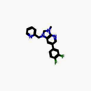 CN1CN(Cc2ccccn2)c2cc(-c3ccc(F)c(F)c3)cnc21